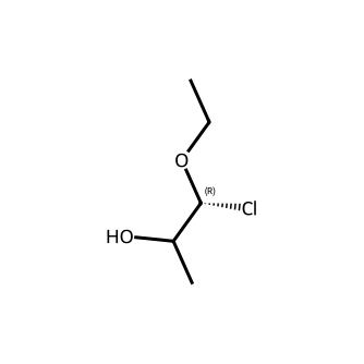 CCO[C@H](Cl)C(C)O